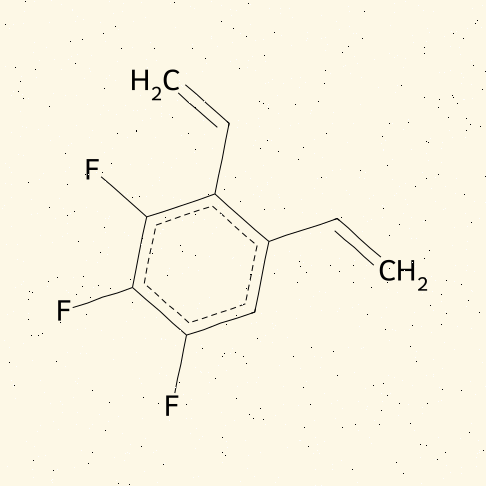 C=Cc1cc(F)c(F)c(F)c1C=C